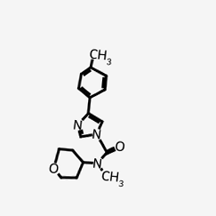 Cc1ccc(-c2cn(C(=O)N(C)C3CCOCC3)cn2)cc1